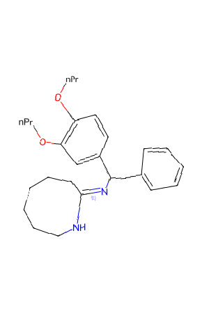 CCCOc1ccc(C(/N=C2\CCCCCCN2)c2ccccc2)cc1OCCC